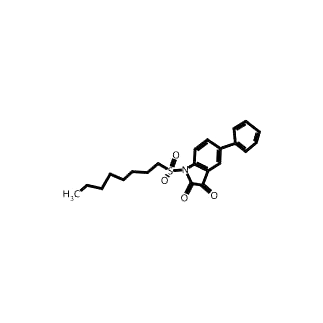 CCCCCCCCS(=O)(=O)N1C(=O)C(=O)c2cc(-c3ccccc3)ccc21